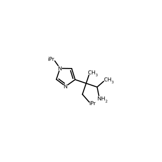 CC(C)CC(C)(c1cn(C(C)C)cn1)C(C)N